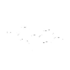 Cc1ccc(-c2c(F)cc(C(C)C)cc2F)cc1